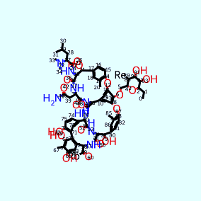 CCC1OC(COc2c3cc4cc2Oc2ccc(cc2C)C(O)C(NC(=O)C(CC(C)C)N(C)C)C(=O)NC(CC(N)=O)C(=O)NC4C(=O)NC2C(=O)NC(C(=O)NC([C](=O)[Rb])c4cc(O)c(C)c(O)c4-c4cc2ccc4O)C(O)c2ccc(c(C)c2)O3)[CH]([Re])C(O)C1O